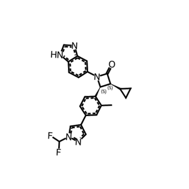 Cc1cc(-c2cnn(C(F)F)c2)ccc1[C@@H]1[C@H](C2CC2)C(=O)N1c1ccc2[nH]cnc2c1